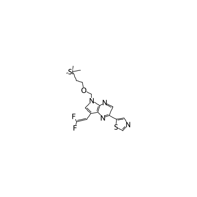 C[Si](C)(C)CCOCn1cc(C=C(F)F)c2nc(-c3cncs3)cnc21